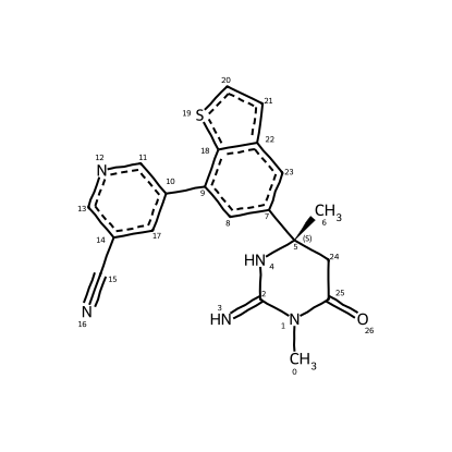 CN1C(=N)N[C@](C)(c2cc(-c3cncc(C#N)c3)c3sccc3c2)CC1=O